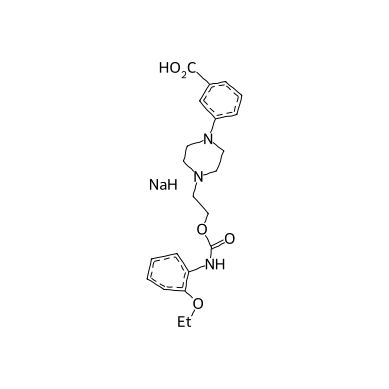 CCOc1ccccc1NC(=O)OCCN1CCN(c2cccc(C(=O)O)c2)CC1.[NaH]